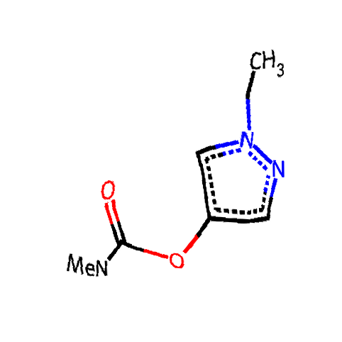 CNC(=O)Oc1cnn(C)c1